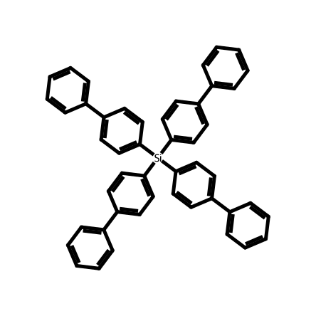 c1ccc(-c2ccc([Si](c3ccc(-c4ccccc4)cc3)(c3ccc(-c4ccccc4)cc3)c3ccc(-c4ccccc4)cc3)cc2)cc1